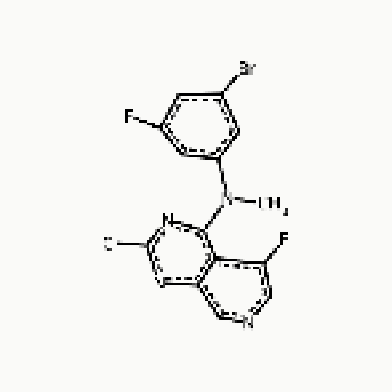 CN(c1cc(F)cc(Br)c1)c1nc(Cl)nc2cncc(F)c12